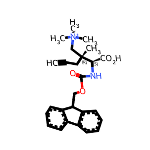 C#CC[C@](C)(C[N+](C)(C)C)[C@H](NC(=O)OCC1c2ccccc2-c2ccccc21)C(=O)O